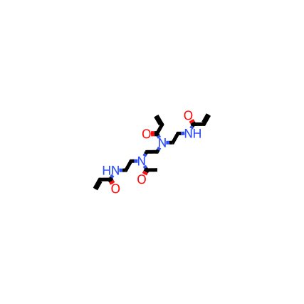 C=CC(=O)NCCN(CCN(CCNC(=O)C=C)C(=O)C=C)C(C)=O